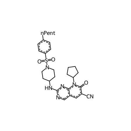 CCCCCc1ccc(S(=O)(=O)N2CCC(Nc3ncc4cc(C#N)c(=O)n(C5CCCC5)c4n3)CC2)cc1